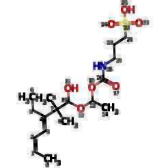 C/C=C\C=C(/CC)C(C)(C)C(O)OC(C)OC(=O)NCCCS(=O)(=O)O